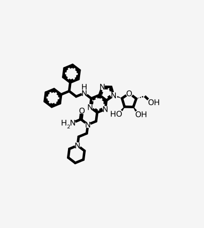 NC(=O)N(CCN1CCCCC1)Cc1nc(NCC(c2ccccc2)c2ccccc2)c2ncn([C@@H]3O[C@H](CO)[C@@H](O)[C@H]3O)c2n1